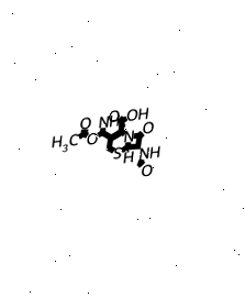 CC(=O)OC(N)C1=C(C(=O)O)N2C(=O)[C@H](NC=O)[C@H]2SC1